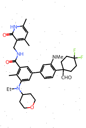 CCN(c1cc(-c2ccc(C3(C=O)CCC(F)(F)CC3)c(NC)c2)cc(C(=O)NCc2c(C)cc(C)[nH]c2=O)c1C)C1CCOCC1